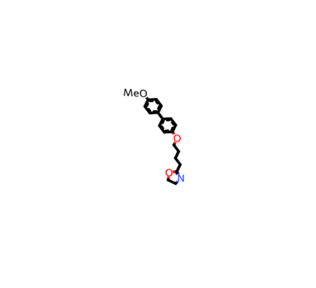 COc1ccc(-c2ccc(OCCCCC3=NCCO3)cc2)cc1